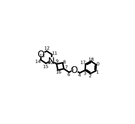 c1ccc(COCC2CC(N3CCOCC3)C2)cc1